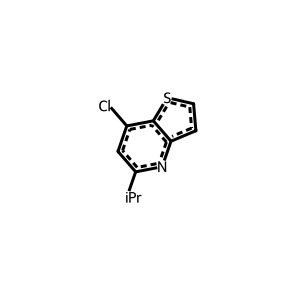 CC(C)c1cc(Cl)c2sccc2n1